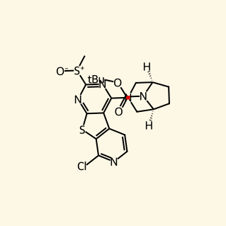 C[S+]([O-])c1nc(N2C[C@H]3CC[C@@H](C2)N3C(=O)OC(C)(C)C)c2c(n1)sc1c(Cl)nccc12